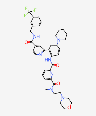 CN(CCN1CCOCC1)C(=O)c1cccc(C(=O)Nc2ccc(N3CCCCC3)cc2-c2cc(C(=O)NCc3cccc(C(F)(F)F)c3)ccn2)n1